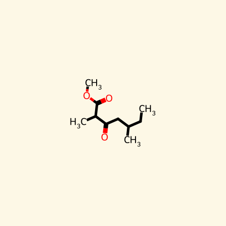 CCC(C)CC(=O)C(C)C(=O)OC